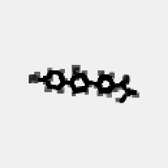 CC(C)N1CCC(C2C=CC(c3ccc(C(=O)N(C)C)cc3)=CN2)CC1